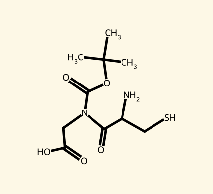 CC(C)(C)OC(=O)N(CC(=O)O)C(=O)C(N)CS